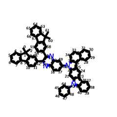 CC1(C)c2ccccc2-c2ccc(-c3nc4ccc(-n5c6cc7c(cc6c6c8ccccc8ccc65)c5ccccc5n7-c5ccccc5)cc4nc3-c3ccc4c(c3)C(C)(C)c3ccccc3-4)cc21